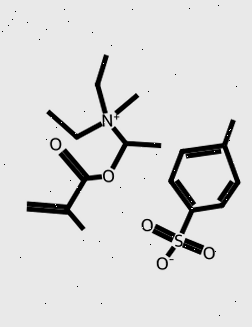 C=C(C)C(=O)OC(C)[N+](C)(CC)CC.Cc1ccc(S(=O)(=O)[O-])cc1